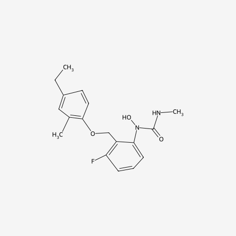 CCc1ccc(OCc2c(F)cccc2N(O)C(=O)NC)c(C)c1